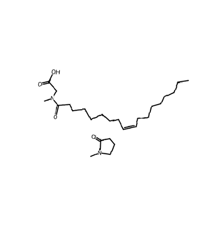 CCCCCCCC/C=C\CCCCCCCC(=O)N(C)CC(=O)O.CN1CCCC1=O